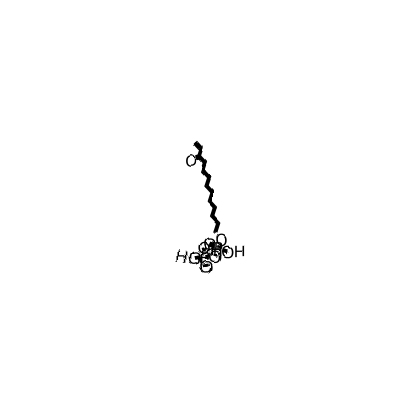 C=CC(=O)CCCCCCCCCCOP(=O)(O)OP(=O)(O)O